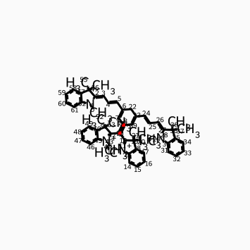 CN1C(=CC=CC(=CC=CC2=[N+](C)c3ccccc3C2(C)C)CC(C=CC=C2N(C)c3ccccc3C2(C)C)=CC=CC2=[N+](C)c3ccccc3C2(C)C)C(C)(C)c2ccccc21